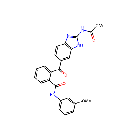 COC(=O)Nc1nc2ccc(C(=O)c3ccccc3C(=O)Nc3cccc(OC)c3)cc2[nH]1